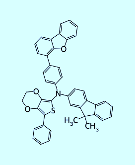 CC1(C)c2ccccc2-c2ccc(N(c3ccc(-c4cccc5c4oc4ccccc45)cc3)c3sc(-c4ccccc4)c4c3OCCO4)cc21